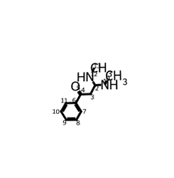 CNC(CC(=O)c1ccccc1)NC